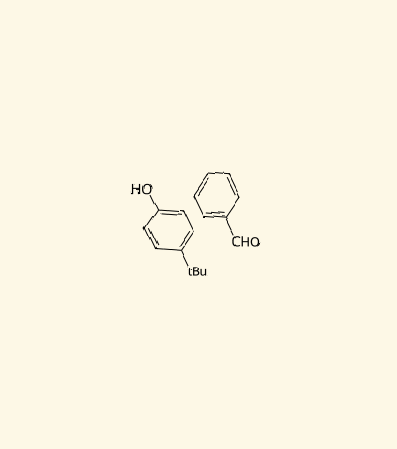 CC(C)(C)c1ccc(O)cc1.O=Cc1ccccc1